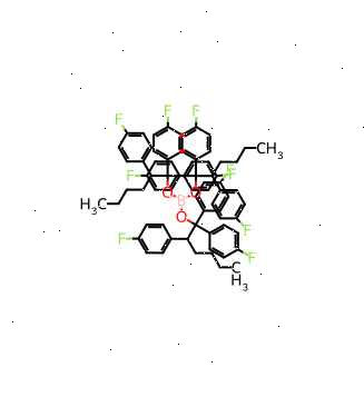 CCCCC(c1ccc(F)cc1)C(OB(OC(c1ccc(F)cc1)(c1ccc(F)cc1)C(CCCC)c1ccc(F)cc1)OC(c1ccc(F)cc1)(c1ccc(F)cc1)C(CCCC)c1ccc(F)cc1)(c1ccc(F)cc1)c1ccc(F)cc1